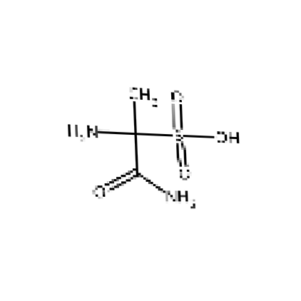 CC(N)(C(N)=O)S(=O)(=O)O